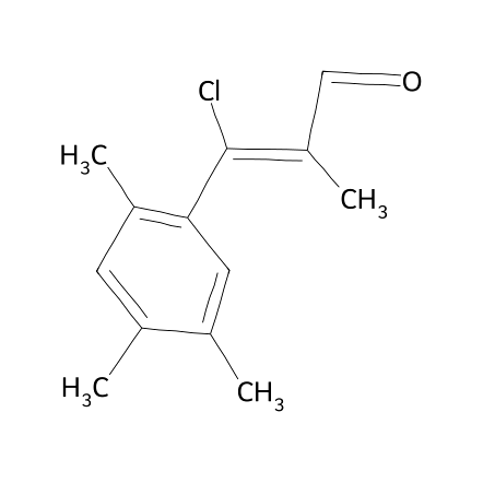 C/C(C=O)=C(/Cl)c1cc(C)c(C)cc1C